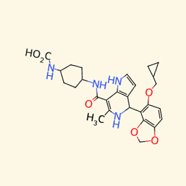 CC1=C(C(=O)NC2CCC(NC(=O)O)CC2)c2[nH]ccc2C(c2c(OCC3CC3)ccc3c2OCO3)N1